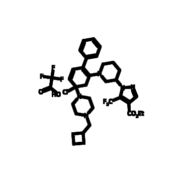 CCOC(=O)c1cnn(C2CCCN(C3=C(c4ccccc4)C=CC(Cl)(N4CCN(CC5CCC5)CC4)C3)C2)c1C(F)(F)F.O=C(O)C(F)(F)F